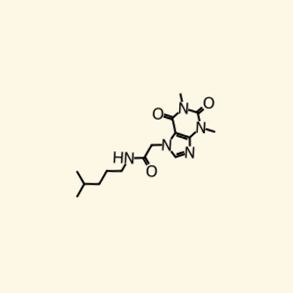 CC(C)CCCNC(=O)Cn1cnc2c1c(=O)n(C)c(=O)n2C